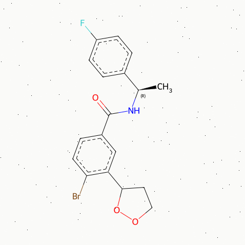 C[C@@H](NC(=O)c1ccc(Br)c(C2CCOO2)c1)c1ccc(F)cc1